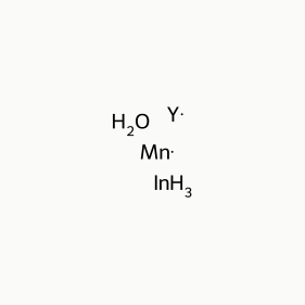 O.[InH3].[Mn].[Y]